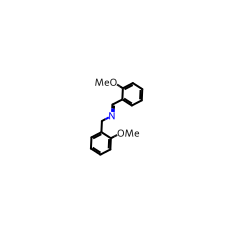 COc1ccccc1/C=N/Cc1ccccc1OC